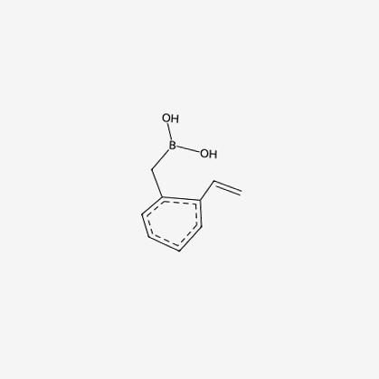 C=Cc1ccccc1CB(O)O